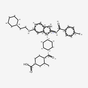 CC1CN(C(=O)O)CCN1C(=O)[C@H]1CC[C@@H](n2/c(=N/C(=O)c3ccc(F)cc3)[nH]c3cnc(OCCN4CCCCC4)cc32)CC1